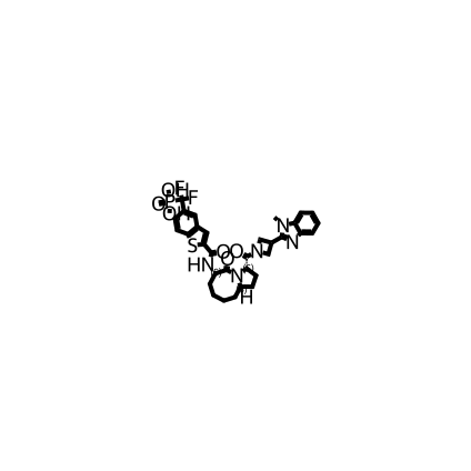 Cn1c(C2CN(C(=O)[C@@H]3CC[C@@H]4CCCC[C@H](NC(=O)c5cc6cc(C(F)(F)P(=O)(O)O)ccc6s5)C(=O)N43)C2)nc2ccccc21